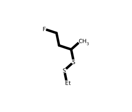 CCSSC(C)CCF